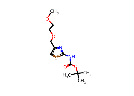 COCCOCc1csc(NC(=O)OC(C)(C)C)n1